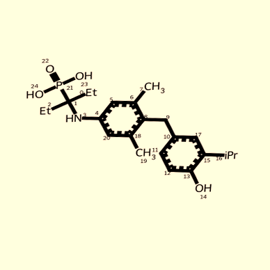 CCC(CC)(Nc1cc(C)c(Cc2ccc(O)c(C(C)C)c2)c(C)c1)P(=O)(O)O